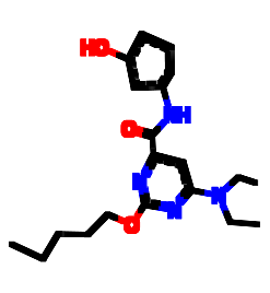 CCCCCOc1nc(C(=O)Nc2cccc(O)c2)cc(N(CC)CC)n1